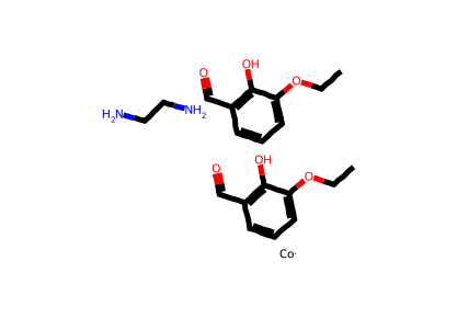 CCOc1cccc(C=O)c1O.CCOc1cccc(C=O)c1O.NCCN.[Co]